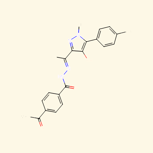 CCCc1ccc(-c2c(O)c(C(C)=NNC(=O)c3ccc(C(=O)OC)cc3)nn2C)cc1